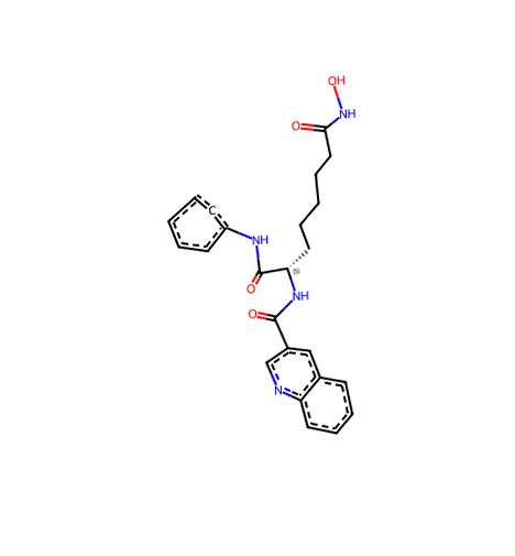 O=C(CCCCC[C@H](NC(=O)c1cnc2ccccc2c1)C(=O)Nc1ccccc1)NO